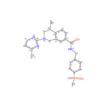 CCS(=O)(=O)c1ccc(CNC(=O)c2ccc3c(c2)CN(c2nccc(C(F)(F)F)n2)CC3C(C)C)cc1